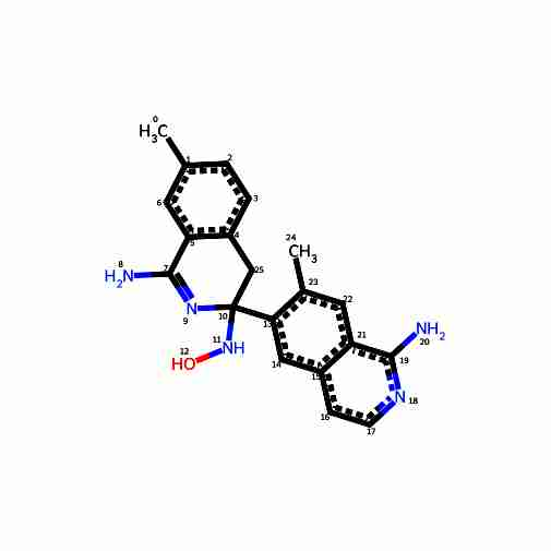 Cc1ccc2c(c1)C(N)=NC(NO)(c1cc3ccnc(N)c3cc1C)C2